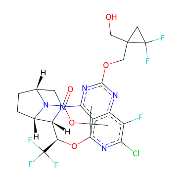 CC(C)(C)OC(=O)N1[C@@H]2CC[C@H]1[C@H]1[C@H](C(F)(F)F)Oc3nc(Cl)c(F)c4nc(OCC5(CO)CC5(F)F)nc(c34)N1C2